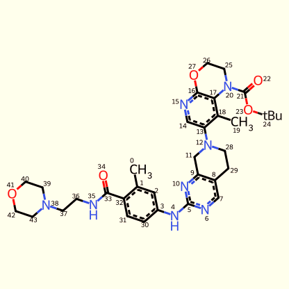 Cc1cc(Nc2ncc3c(n2)CN(c2cnc4c(c2C)N(C(=O)OC(C)(C)C)CCO4)CC3)ccc1C(=O)NCCN1CCOCC1